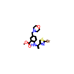 C=C(Nc1ccc(CN2CCOCC2)cc1C(=O)OC)c1csc(Br)n1